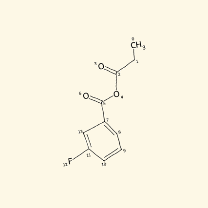 CCC(=O)OC(=O)c1cccc(F)c1